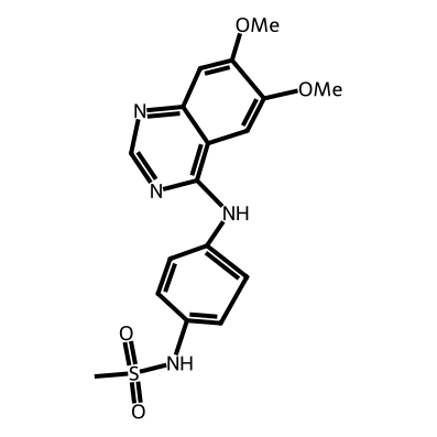 COc1cc2ncnc(Nc3ccc(NS(C)(=O)=O)cc3)c2cc1OC